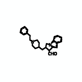 O=CC1c2cc3ccccc3n2CC1CC1CCN(CCc2ccccc2)CC1